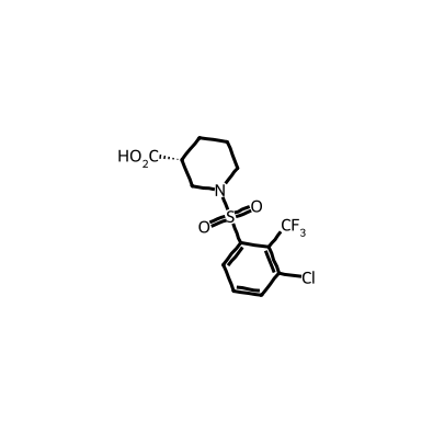 O=C(O)[C@@H]1CCCN(S(=O)(=O)c2cccc(Cl)c2C(F)(F)F)C1